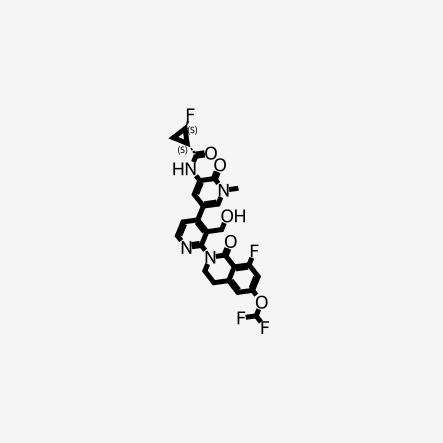 Cn1cc(-c2ccnc(N3CCc4cc(OC(F)F)cc(F)c4C3=O)c2CO)cc(NC(=O)[C@@H]2C[C@@H]2F)c1=O